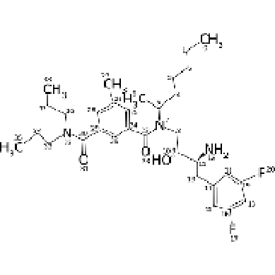 CCCCCC(C)N(C[C@@H](O)[C@@H](N)Cc1cc(F)cc(F)c1)C(=O)c1cc(C)cc(C(=O)N(CCC)CCC)c1